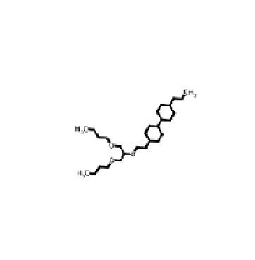 CCCCOCC(COCCCC)OCCC1CCC(C2CCC(CCC)CC2)CC1